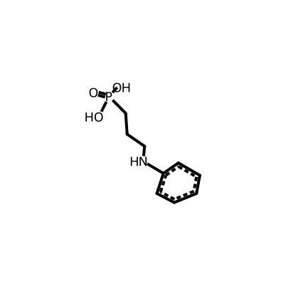 O=P(O)(O)CCCNc1ccccc1